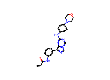 C=CC(=O)Nc1cccc(-c2ncn3cnc(Nc4ccc(N5CCOCC5)cc4)nc23)c1